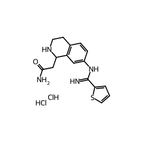 Cl.Cl.N=C(Nc1ccc2c(c1)C(CC(N)=O)NCC2)c1cccs1